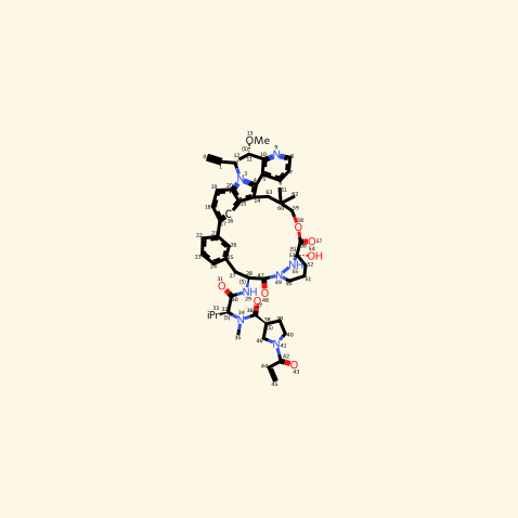 C#CCn1c(-c2cccnc2[C@H](C)OC)c2c3cc(ccc31)-c1cccc(c1)C[C@H](NC(=O)[C@H](C(C)C)N(C)C(=O)[C@H]1CCN(C(=O)C=C)C1)C(=O)N1CCC[C@@](O)(N1)C(=O)OCC(C)(C)C2